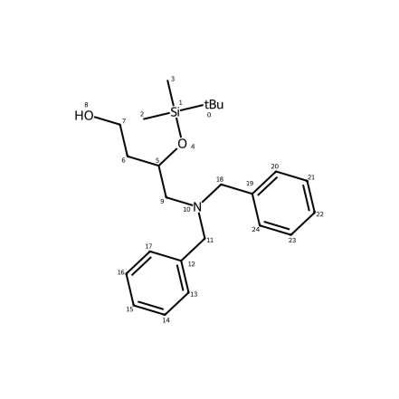 CC(C)(C)[Si](C)(C)OC(CCO)CN(Cc1ccccc1)Cc1ccccc1